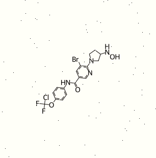 O=C(Nc1ccc(OC(F)(F)Cl)cc1)c1cnc(N2CCC(NO)C2)c(Br)c1